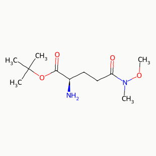 CON(C)C(=O)CC[C@@H](N)C(=O)OC(C)(C)C